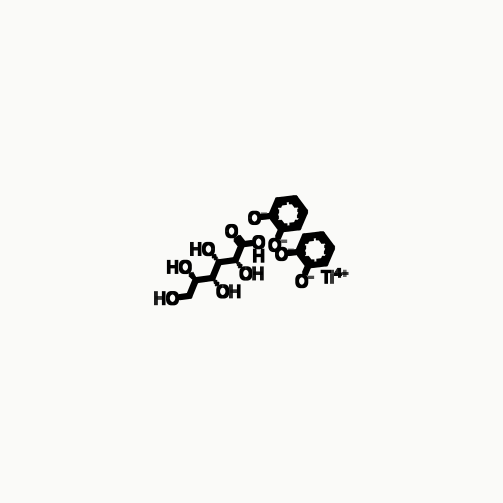 O=C(O)[C@H](O)[C@@H](O)[C@H](O)[C@H](O)CO.[O-]c1ccccc1[O-].[O-]c1ccccc1[O-].[Ti+4]